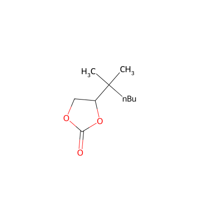 CCCCC(C)(C)C1COC(=O)O1